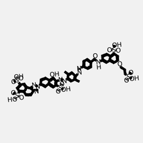 Cc1cc(N=Nc2c(S(=O)(=O)O)cc3cc(-n4nc5ccc6c(S(=O)(=O)O)cc(S(=O)(=O)O)cc6c5n4)ccc3c2O)c(C)cc1N=Nc1ccc(C(=O)Nc2ccc3c(S(=O)(=O)O)cc(OCCCS(=O)(=O)O)cc3c2)cc1